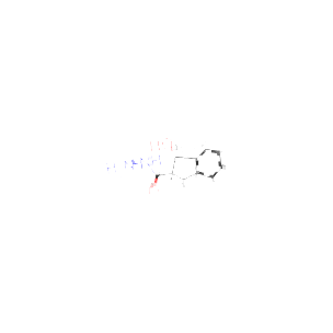 NNC(=O)[C@@H]1Cc2ccccc2[C@H]1O